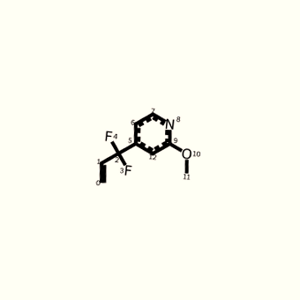 C=CC(F)(F)c1ccnc(OC)c1